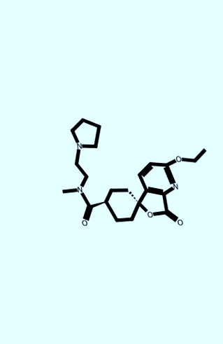 CCOc1ccc2c(n1)C(=O)O[C@]21CC[C@H](C(=O)N(C)CCN2CCCC2)CC1